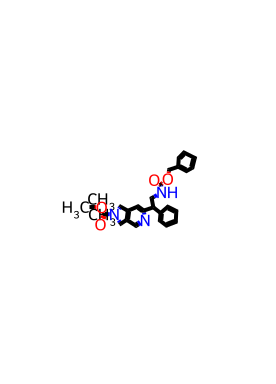 CC(C)(C)OC(=O)N1Cc2cnc(C(CNC(=O)OCc3ccccc3)c3ccccc3)cc2C1